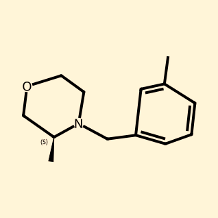 Cc1cccc(CN2CCOC[C@@H]2C)c1